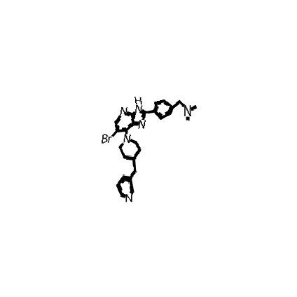 CN(C)Cc1ccc(-c2nc3c(N4CCC(Cc5cccnc5)CC4)c(Br)cnc3[nH]2)cc1